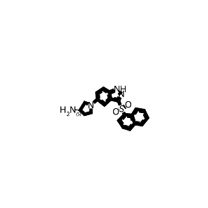 N[C@H]1CCN(c2ccc3[nH]nc(S(=O)(=O)c4cccc5ccccc45)c3c2)C1